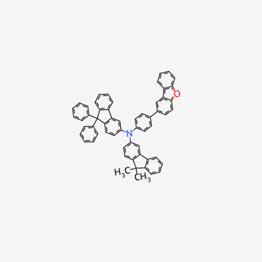 CC1(C)c2ccccc2-c2cc(N(c3ccc(-c4ccc5oc6ccccc6c5c4)cc3)c3ccc4c(c3)-c3ccccc3C4(c3ccccc3)c3ccccc3)ccc21